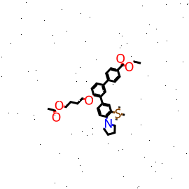 CCOC(=O)c1ccc(-c2ccc(OCCCCOC(C)=O)c(-c3ccc(N4CCCC4)c(S(C)(C)C)c3)c2)cc1